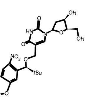 CCOc1ccc([N+](=O)[O-])c([C@@H](OCc2cn([C@H]3C[C@@H](O)[C@@H](CO)O3)c(=O)[nH]c2=O)C(C)(C)C)c1